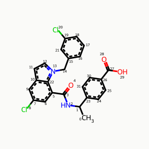 CC(NC(=O)c1cc(Cl)cc2ccn(Cc3cccc(Cl)c3)c12)c1ccc(C(=O)O)cc1